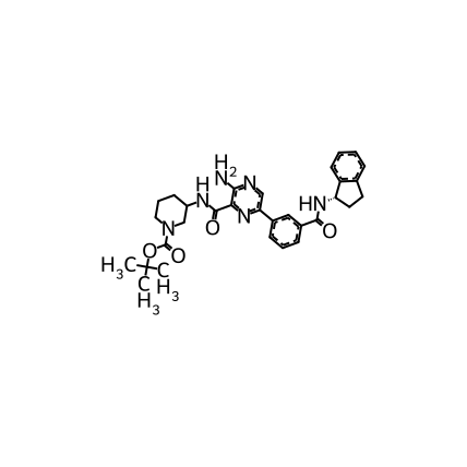 CC(C)(C)OC(=O)N1CCCC(NC(=O)c2nc(-c3cccc(C(=O)N[C@H]4CCc5ccccc54)c3)cnc2N)C1